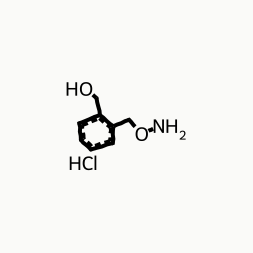 Cl.NOCc1ccccc1CO